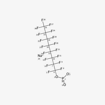 O=[PH]([O-])OC(F)(F)C(F)(F)C(F)(F)C(F)(F)C(F)(F)C(F)(F)C(F)(F)C(F)(F)F.[Na+]